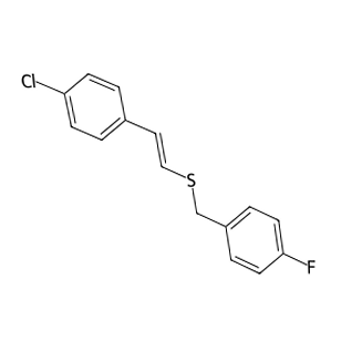 Fc1ccc(CSC=Cc2ccc(Cl)cc2)cc1